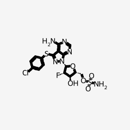 Nc1ncnc2c1c(Sc1ccc(Cl)cc1)nn2[C@@H]1O[C@H](COS(N)(=O)=O)[C@@H](O)[C@@H]1F